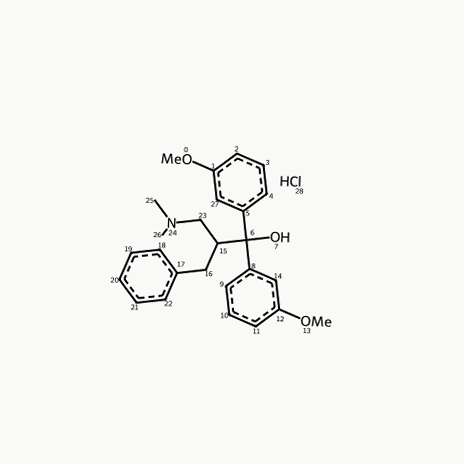 COc1cccc(C(O)(c2cccc(OC)c2)C(Cc2ccccc2)CN(C)C)c1.Cl